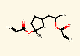 C=CC(=O)OC(C)CC1CCC(C)(OC(=O)C=C)C1